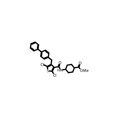 COC(=O)C1CCC(NC(=O)c2c(Cl)sc(Cl)c2Cc2ccc(-c3ccccc3)cc2)CC1